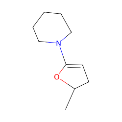 CC1CC=C(N2CCCCC2)O1